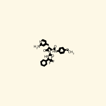 COc1ccc(NC(=O)[C@@H]2[C@@H](Cc3ccnc(N)c3)C(=O)N2C(=O)NC(C2CCCCC2)C(F)(F)F)cc1